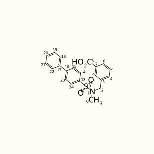 CN(Cc1cccc(C(=O)O)c1)S(=O)(=O)c1ccc(-c2ccccc2)cc1